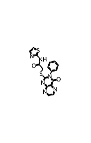 O=C(CSc1nc2nccnc2c(=O)n1-c1ccccc1)Nc1nccs1